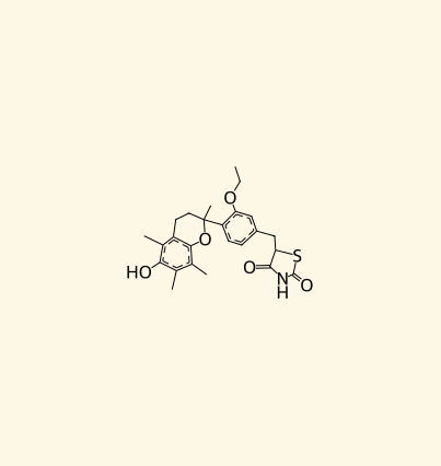 CCOc1cc(CC2SC(=O)NC2=O)ccc1C1(C)CCc2c(C)c(O)c(C)c(C)c2O1